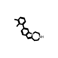 Cc1cccc(-c2ccc3cc4n(c3c2)CCNCC4)c1C